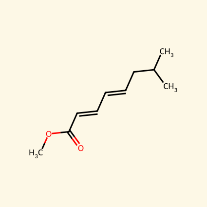 COC(=O)C=CC=CCC(C)C